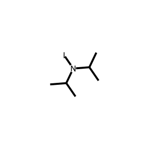 CC(C)N(I)C(C)C